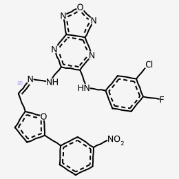 O=[N+]([O-])c1cccc(-c2ccc(/C=N\Nc3nc4nonc4nc3Nc3ccc(F)c(Cl)c3)o2)c1